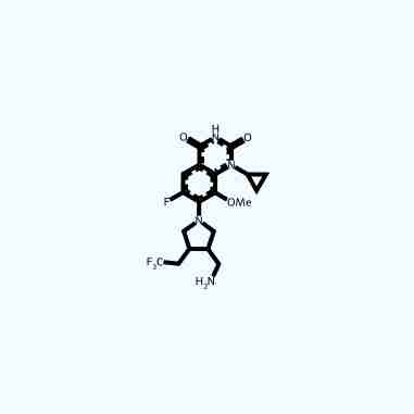 COc1c(N2CC(CN)C(CC(F)(F)F)C2)c(F)cc2c(=O)[nH]c(=O)n(C3CC3)c12